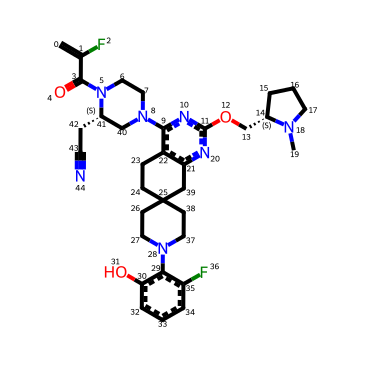 C=C(F)C(=O)N1CCN(c2nc(OC[C@@H]3CCCN3C)nc3c2CCC2(CCN(c4c(O)cccc4F)CC2)C3)C[C@@H]1CC#N